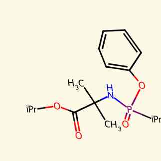 CC(C)OC(=O)C(C)(C)NP(=O)(Oc1ccccc1)C(C)C